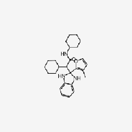 Cc1ccoc1C1(C(C(=O)NC2CCCCC2)C2CCCCC2)Nc2ccccc2N1